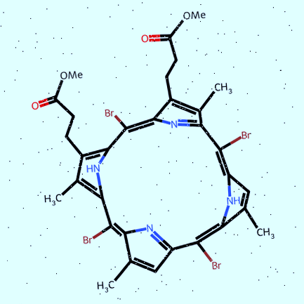 COC(=O)CCC1=C(C)c2nc1c(Br)c1[nH]c(c(C)c1CCC(=O)OC)c(Br)c1nc(c(Br)c3[nH]c(cc3C)c2Br)C=C1C